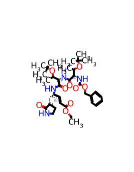 CCOC(=O)/C=C/[C@H](C[C@@H]1CCNC1=O)NC(=O)[C@@H](NC(=O)[C@@H](NC(=O)OCc1ccccc1)C(C)OC(C)(C)C)C(C)OC(C)(C)C